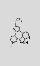 Fc1ccc(-c2nn(CC(F)(F)F)cc2-c2ccnc3[nH]ccc23)cc1